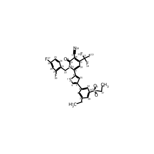 CCc1cc(-c2csc(-c3cc(C(F)(F)F)c(C#N)c(=O)n3Cc3ccc(F)cc3F)c2)cc(S(=O)(=O)CC)c1